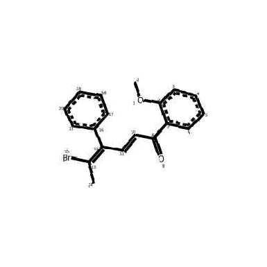 COc1ccccc1C(=O)/C=C/C(=C(\C)Br)c1ccccc1